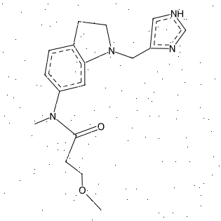 COCCC(=O)N(C)c1ccc2c(c1)N(Cc1c[nH]cn1)CC2